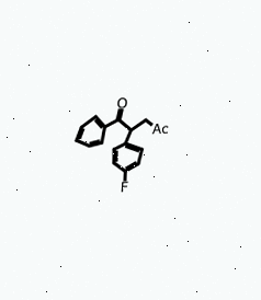 CC(=O)CC(C(=O)c1ccccc1)c1ccc(F)cc1